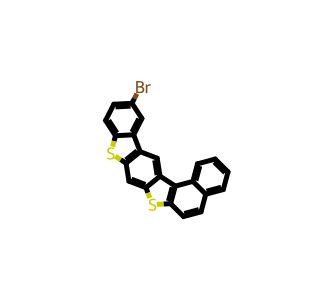 Brc1ccc2sc3cc4sc5ccc6ccccc6c5c4cc3c2c1